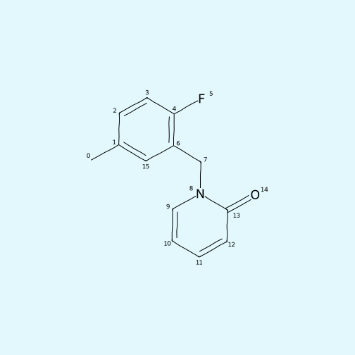 Cc1ccc(F)c(Cn2ccccc2=O)c1